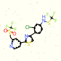 O=S(=O)(Cc1cc(-c2nc(-c3ccc(NSC(F)(F)F)cc3Cl)cs2)ccn1)C(F)(F)F